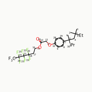 CCC(C)(C)CC(C)(c1ccc(OCC(=O)OCCC(F)(F)C(F)(F)C(F)(F)C(F)(F)F)cc1)C(C)C